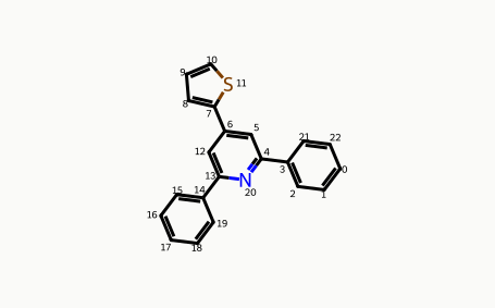 c1ccc(-c2cc(-c3cccs3)cc(-c3ccccc3)n2)cc1